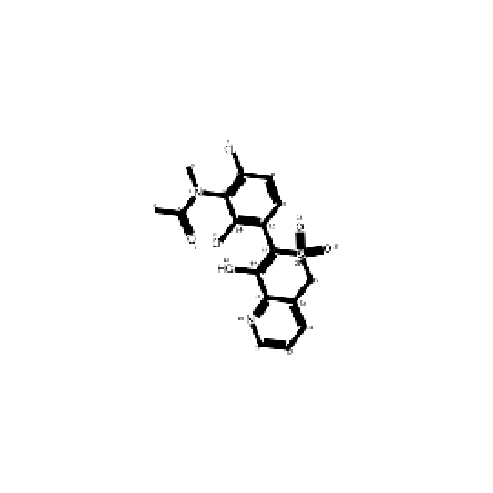 CC(=O)N(C)c1c(Cl)ccc(C2=C(O)c3ncccc3CS2(=O)=O)c1Cl